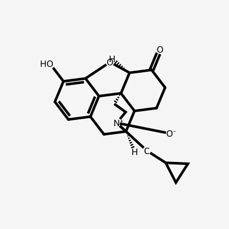 O=C1CCC2[C@H]3Cc4ccc(O)c5c4[C@@]2(CC[N+]3([O-])CC2CC2)[C@H]1O5